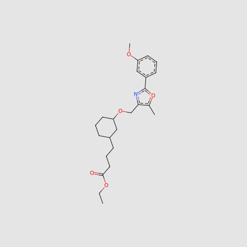 CCOC(=O)CCCC1CCCC(OCc2nc(-c3cccc(OC)c3)oc2C)C1